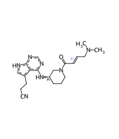 CN(C)C/C=C/C(=O)N1CCC[C@@H](Nc2ncnc3[nH]cc(CCC#N)c23)C1